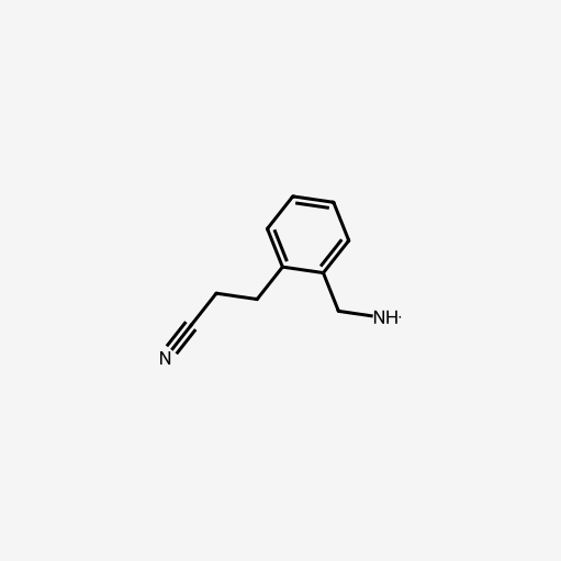 N#CCCc1ccccc1C[NH]